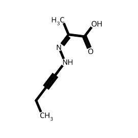 CCC#CNN=C(C)C(=O)O